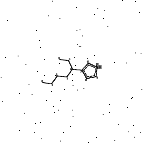 CCCCC(CC)c1cc[nH]c1